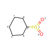 O=[SH](=O)C1CCCCC1